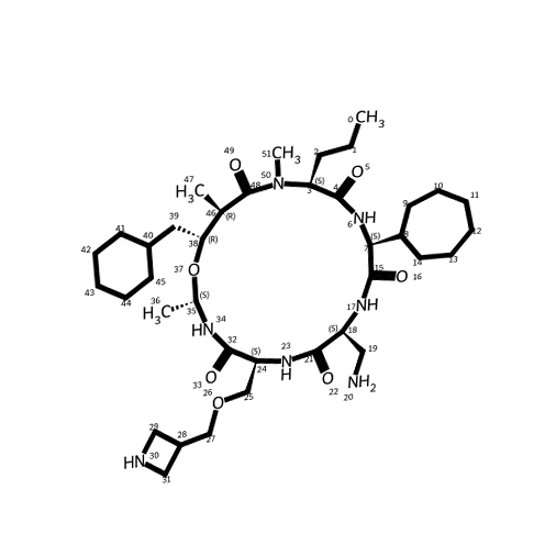 CCC[C@H]1C(=O)N[C@@H](C2CCCCCC2)C(=O)N[C@@H](CN)C(=O)N[C@@H](COCC2CNC2)C(=O)N[C@H](C)O[C@H](CC2CCCCC2)[C@@H](C)C(=O)N1C